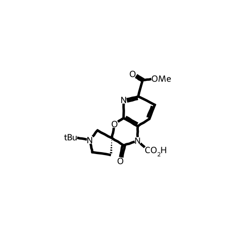 COC(=O)c1ccc2c(n1)O[C@@]1(CCN(C(C)(C)C)C1)C(=O)N2C(=O)O